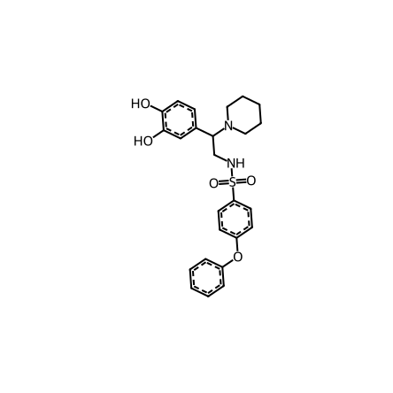 O=S(=O)(NCC(c1ccc(O)c(O)c1)N1CCCCC1)c1ccc(Oc2ccccc2)cc1